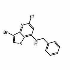 Clc1cc(NCc2ccccc2)c2scc(Br)c2n1